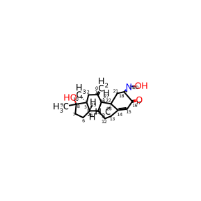 C=C1C[C@@]2(C)[C@@H](CCC2(C)O)[C@@H]2CCC3=CC(=O)C(=NO)C[C@]3(C)[C@H]12